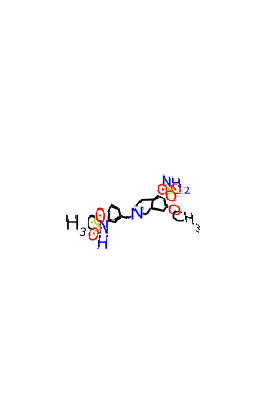 COc1cc2c(cc1OS(N)(=O)=O)CCN(Cc1cccc(NS(C)(=O)=O)c1)C2